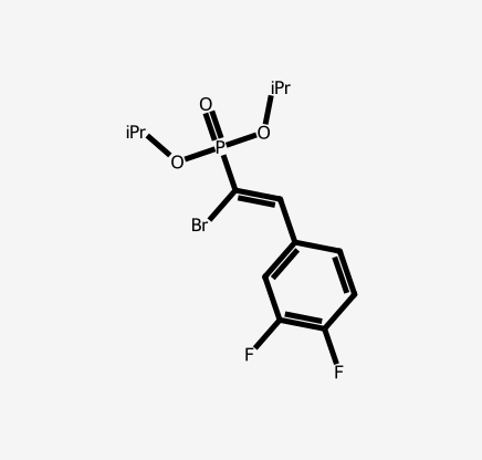 CC(C)OP(=O)(OC(C)C)/C(Br)=C/c1ccc(F)c(F)c1